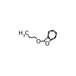 CCCOC1Oc2ccccc21